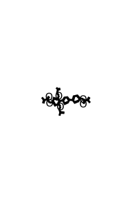 C=C(C)COc1cc(OC(=O)C(=C)C)cc(OCC(=C)C)c1-c1ccc(-c2ccc(OC(=O)C(=C)C)cc2)cc1